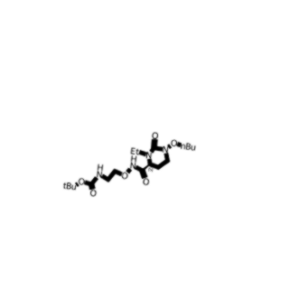 CCCCON1CC[C@@H](C(=O)NOCCNC(=O)OC(C)(C)C)N(CC)C1=O